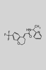 CC(NC(=O)C=C1CCCOc2cc(C(F)(F)F)ccc21)c1ccccn1